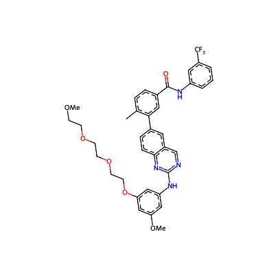 COCCOCCOCCOc1cc(Nc2ncc3cc(-c4cc(C(=O)Nc5cccc(C(F)(F)F)c5)ccc4C)ccc3n2)cc(OC)c1